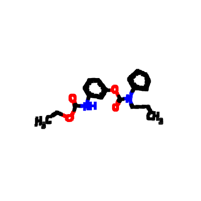 CCCN(C(=O)Oc1cccc(NC(=O)OCC)c1)c1ccccc1